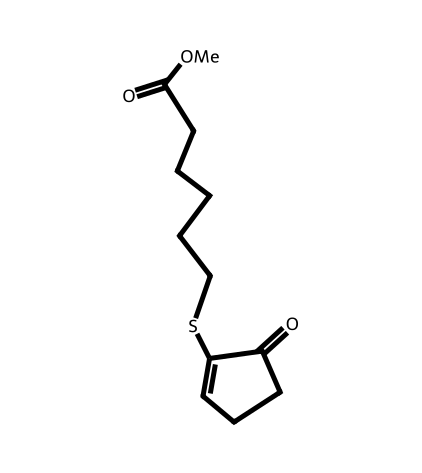 COC(=O)CCCCCSC1=CCCC1=O